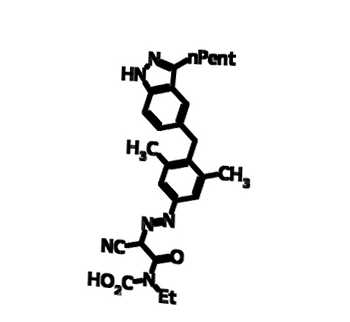 CCCCCc1n[nH]c2ccc(Cc3c(C)cc(N=NC(C#N)C(=O)N(CC)C(=O)O)cc3C)cc12